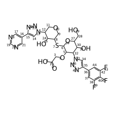 O=C(O)COC1C(SC2COCC(n3cc(-c4cncnc4)nn3)C2O)OC(CO)C(O)C1n1cc(-c2cc(F)c(F)c(F)c2)nn1